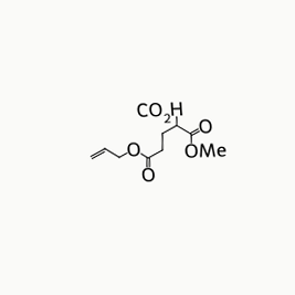 C=CCOC(=O)CCC(C(=O)O)C(=O)OC